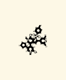 Cc1ccc(S(=O)(=O)n2c(-c3cc(C)nc(C)c3)cc3c(-c4cc(=O)n(C)cc4C4CCCC4)cn(C)c(=O)c32)cc1